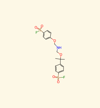 CC(C)(OCNCOc1ccc(S(=O)(=O)F)cc1)c1ccc(S(=O)(=O)F)cc1